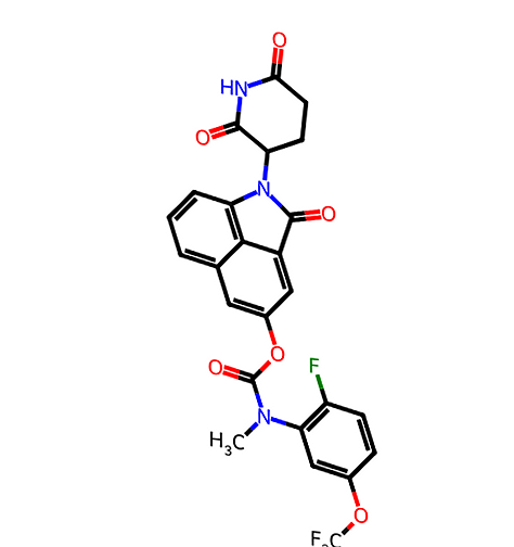 CN(C(=O)Oc1cc2c3c(cccc3c1)N(C1CCC(=O)NC1=O)C2=O)c1cc(OC(F)(F)F)ccc1F